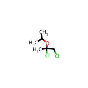 CC(C)OC(C)(Cl)CCl